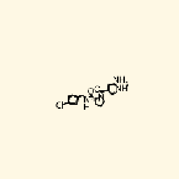 NC1C=C(C(=O)N2CCC[C@H]2C(=O)NCc2ccc(Cl)cc2)C=CN1